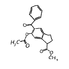 COC(=O)C1CCc2cc(C(=O)c3ccccc3)c(OC(C)=O)cc21